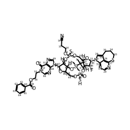 CC(C)(C)[Si](C)(C)O[C@H]1[C@H]2OP(=S)(OCCC#N)OC[C@H]3O[C@@H](n4cc5c6c(ncnc64)SCCC5)[C@H](F)[C@@H]3OP(=O)(S)OC[C@H]1O[C@H]2n1cnc2c(=O)n(CCOC(=O)c3ccccc3)cnc21